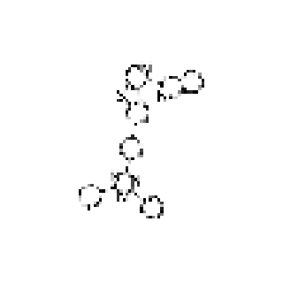 c1ccc(-c2nc(-c3ccccc3)nc(-c3ccc(-c4ccc5c(c4)sc4ccnc(-c6cc7ccccc7cn6)c45)cc3)n2)cc1